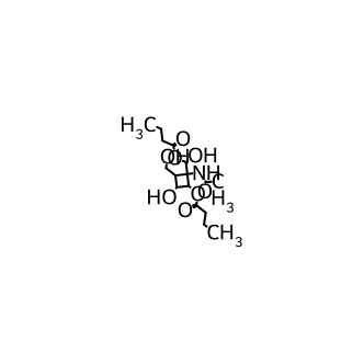 CCCC(=O)OC1[C@H](O)C(CO)C1(NC(C)=O)[C@@H](O)OC(=O)CCC